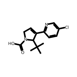 CC(C)(C)C1C(c2ccc(Cl)cn2)=CCN1C(=O)O